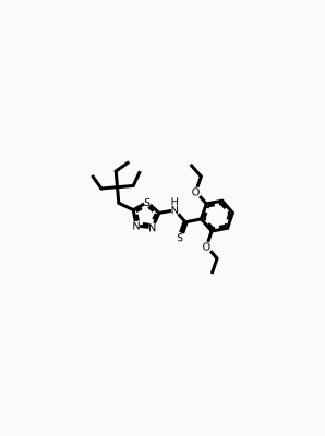 CCOc1cccc(OCC)c1C(=S)Nc1nnc(CC(CC)(CC)CC)s1